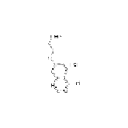 COCCOc1ccc2c(Cl)ncnc2c1.Cl